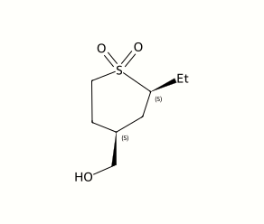 CC[C@H]1C[C@@H](CO)CCS1(=O)=O